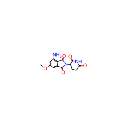 COc1cc(N)c2c(c1)C(=O)N(C1CCC(=O)NC1=O)C2=O